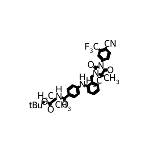 CC(C)(C)OC(=O)C(C)(C)NC(=O)c1ccc(Nc2ccccc2CN2C(=O)N(c3ccc(C#N)c(C(F)(F)F)c3)C(=O)C2(C)C)cc1